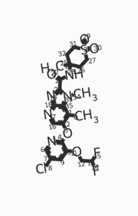 Cc1c(Oc2ncc(Cl)cc2OCC(F)F)cnc2nc(C(=O)NC3(C)CCS(=O)(=O)CC3)n(C)c12